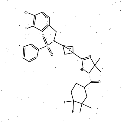 CC1(C)N=C(C23CC(N(Cc4ccc(Cl)c(F)c4)S(=O)(=O)c4ccccc4)(C2)C3)N[C@H]1C(=O)C1CCC(F)(F)C(C)(C)C1